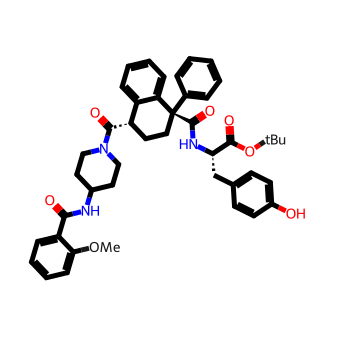 COc1ccccc1C(=O)NC1CCN(C(=O)[C@H]2CC[C@@](C(=O)N[C@@H](Cc3ccc(O)cc3)C(=O)OC(C)(C)C)(c3ccccc3)c3ccccc32)CC1